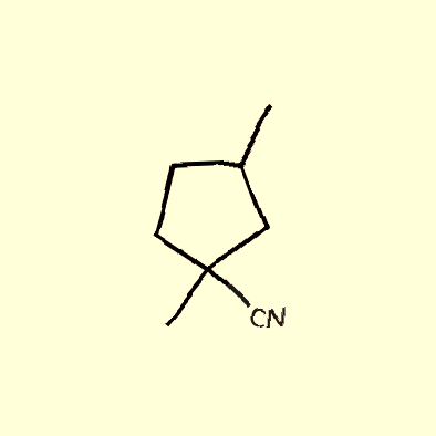 CC1CCC(C)(C#N)C1